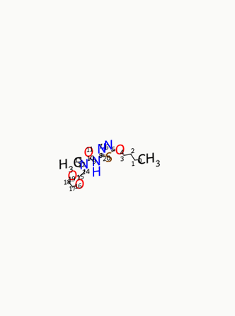 CCCCOc1nnc(NC(=O)N(C)CC2OCCO2)s1